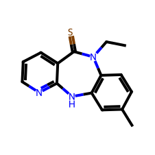 CCN1C(=S)c2cccnc2Nc2cc(C)ccc21